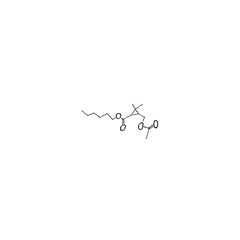 CCCCCCOC(=O)C1C(COC(C)=O)C1(C)C